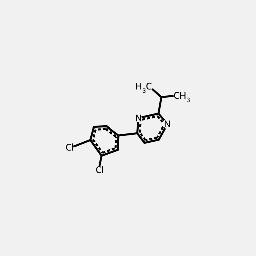 CC(C)c1nccc(-c2ccc(Cl)c(Cl)c2)n1